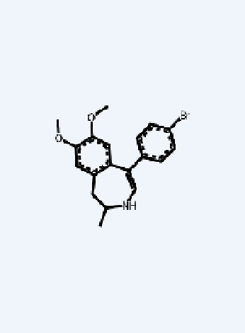 COc1cc2c(cc1OC)C(c1ccc(Br)cc1)=CNC(C)C2